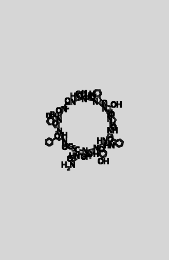 CCCC[C@H]1C(=O)N(C)CC(=O)N[C@@H](CC(=O)O)C(=O)N[C@@H](C(C)C)C(=O)N(C)[C@@H](Cc2ccccc2)C(=O)N2C[C@H](O)C[C@H]2C(=O)N2CCC[C@@H]2C(=O)N[C@@H](Cc2c[nH]c3ccccc23)C(=O)NC(Cc2ccc(O)cc2)C(=O)N[C@@H](CC(C)C)C(=O)N[C@H](C(=O)NCC(N)=O)CSCC(=O)N[C@@H](CCc2ccccc2)C(=O)N(C)[C@@H](Cc2ccccc2)C(=O)N1C